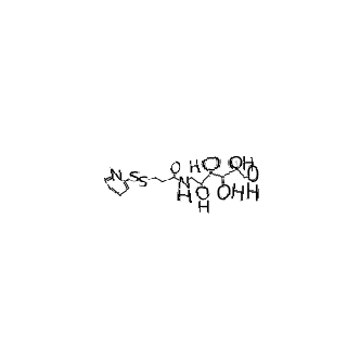 O=C(CCSSc1ccccn1)NC[C@@H](O)[C@@H](O)[C@H](O)[C@H](O)CO